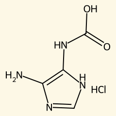 Cl.Nc1nc[nH]c1NC(=O)O